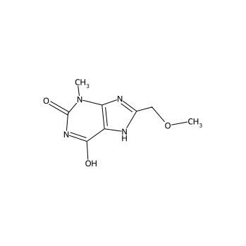 COCc1nc2c([nH]1)c(O)nc(=O)n2C